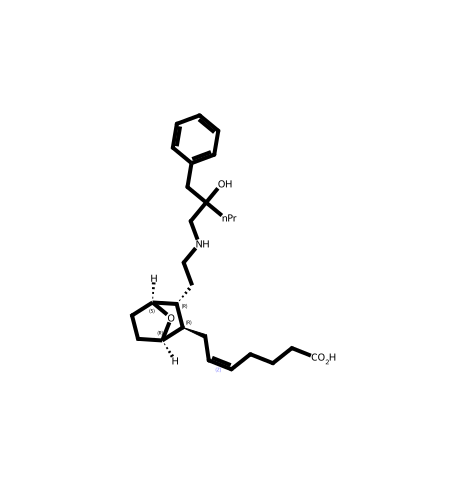 CCCC(O)(CNCC[C@@H]1[C@@H](C/C=C\CCCC(=O)O)[C@H]2CC[C@@H]1O2)Cc1ccccc1